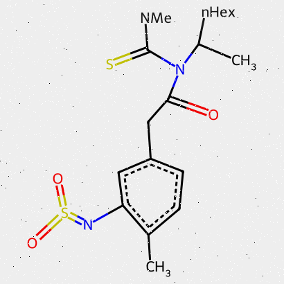 CCCCCCC(C)N(C(=O)Cc1ccc(C)c(N=S(=O)=O)c1)C(=S)NC